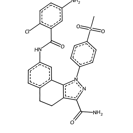 CS(=O)(=O)c1ccc(-n2nc(C(N)=O)c3c2-c2cc(NC(=O)c4cc(N)ccc4Cl)ccc2CC3)cc1